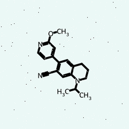 COc1cc(-c2cc3c(cc2C#N)N(C(C)C)CCC3)ccn1